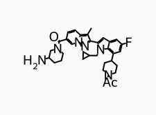 CC(=O)N1CCC(c2cc(F)cc3cc(-c4nn5cc(C(=O)N6CCCC(N)C6)ccc5c4C)n(CC4CC4)c23)CC1